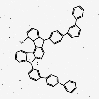 CC1C=CC=C2C1c1c(ccc3c1c1ccccc1n3-c1cccc(-c3ccc(-c4ccccc4)cc3)c1)N2c1ccc(-c2cccc(-c3ccccc3)c2)cc1